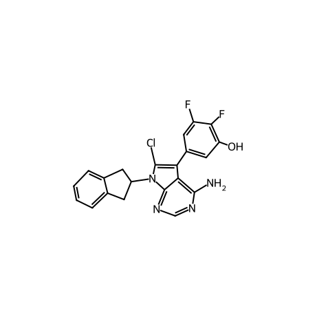 Nc1ncnc2c1c(-c1cc(O)c(F)c(F)c1)c(Cl)n2C1Cc2ccccc2C1